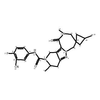 CC1Cc2nn3c(c2CN1C(=O)Nc1ccc(F)c(C#N)c1)C(=O)N(C)CC1(CC(F)C1)C3